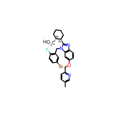 Cc1ccc(COc2ccc3nc([C@@H]4CCCC[C@H]4C(=O)O)n(Cc4cc(Br)ccc4F)c3c2)nc1